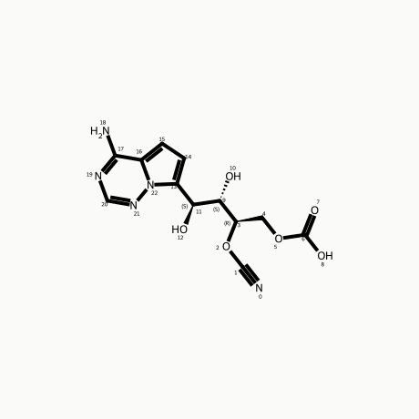 N#CO[C@H](COC(=O)O)[C@@H](O)[C@@H](O)c1ccc2c(N)ncnn12